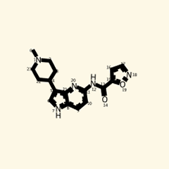 CN1CCC(c2c[nH]c3ccc(NC(=O)c4ccno4)nc23)CC1